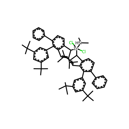 CC(C)C1=Cc2c(ccc(-c3ccccc3)c2-c2cc(C(C)(C)C)cc(C(C)(C)C)c2)[CH]1[Zr]([Cl])([Cl])([CH]1C(C(C)C)=Cc2c1ccc(-c1ccccc1)c2-c1cc(C(C)(C)C)cc(C(C)(C)C)c1)[SiH](C)C